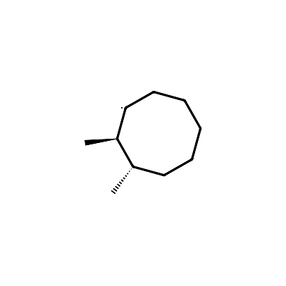 C[C@H]1[CH]CCCCC[C@@H]1C